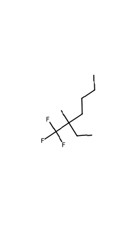 CCCCC(C)(CC)C(F)(F)F